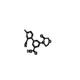 Cc1ccc(-c2cc(C(=O)O)cc(N3CCOCC3=O)c2)c(C#N)c1